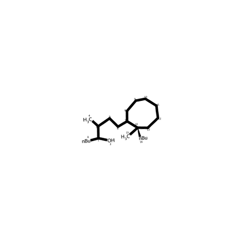 CCCCC(O)C(C)CCC1CCCCCC[C@@]1(C)CCCC